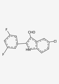 O=Cc1c(-c2cc(F)cc(F)c2)[nH]c2ccc(Cl)cc12